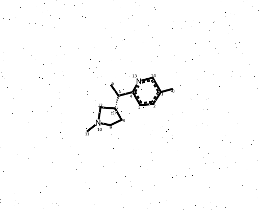 Cc1ccc(C(C)[C@@H]2CCN(C)C2)nc1